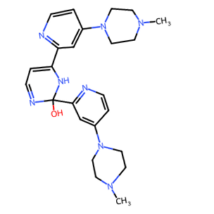 CN1CCN(c2ccnc(C3=CC=NC(O)(c4cc(N5CCN(C)CC5)ccn4)N3)c2)CC1